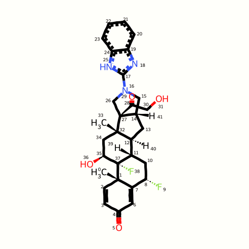 C[C@]12C=CC(=O)C=C1[C@@H](F)C[C@H]1[C@@H]3C[C@H]4CN(c5nc6ccccc6[nH]5)C[C@@]4(C(=O)CO)[C@@]3(C)C[C@H](O)[C@@]12F